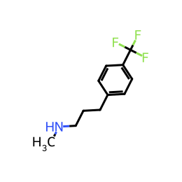 CNCCCc1ccc(C(F)(F)F)cc1